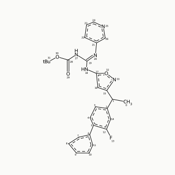 CC(c1ccc(-c2ccccc2)c(F)c1)c1cc(NC(=Nc2cccnc2)NC(=O)OC(C)(C)C)on1